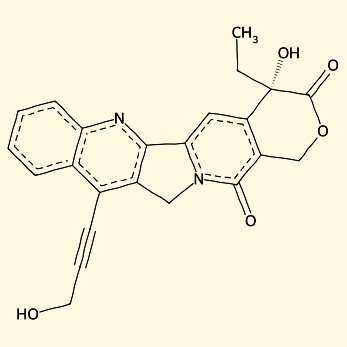 CC[C@@]1(O)C(=O)OCc2c1cc1n(c2=O)Cc2c-1nc1ccccc1c2C#CCO